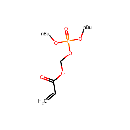 C=CC(=O)OCOP(=O)(OCCCC)OCCCC